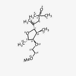 C=C(CP(C)(C)=O)[C@H]1O[C@@H](C)[C@H](OCCOC)[C@@H]1C